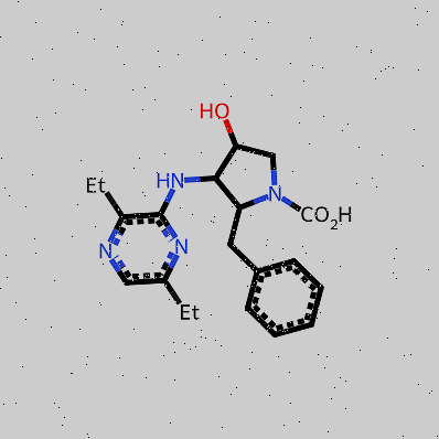 CCc1cnc(CC)c(NC2C(O)CN(C(=O)O)C2Cc2ccccc2)n1